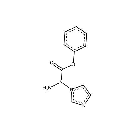 NN(C(=O)Oc1ccccc1)n1ccnc1